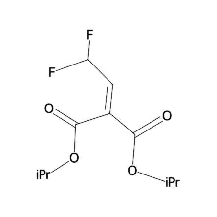 CC(C)OC(=O)C(=CC(F)F)C(=O)OC(C)C